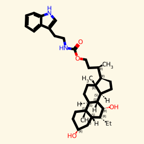 CC[C@H]1[C@@H](O)[C@@H]2[C@H](CC[C@]3(C)[C@@H]([C@H](C)CCOC(=O)NCCc4c[nH]c5ccccc45)CC[C@@H]23)[C@@]2(C)CC[C@@H](O)C[C@@H]12